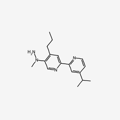 CCCc1cc(-c2cc(C(C)C)ccn2)ncc1N(C)N